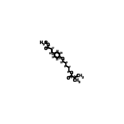 C=C(C)C(=O)OCCCCCOc1ccc(/C=C/C(=O)OC)cc1